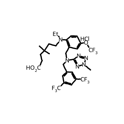 CCN(CCC(C)(C)CCC(=O)O)c1ccc(OC(F)(F)F)cc1CN(Cc1cc(C(F)(F)F)cc(C(F)(F)F)c1)c1nnn(C)n1.Cl